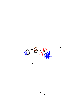 O=C(Cc1ccc(Cc2ccncc2)s1)C(=O)c1nn[nH]n1